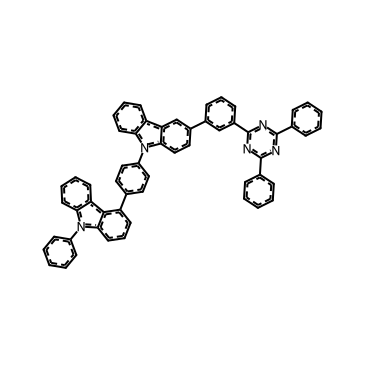 c1ccc(-c2nc(-c3ccccc3)nc(-c3cccc(-c4ccc5c(c4)c4ccccc4n5-c4ccc(-c5cccc6c5c5ccccc5n6-c5ccccc5)cc4)c3)n2)cc1